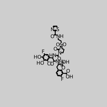 O=C(NCCS(=O)(=O)N1CCN(C(=O)NC(C(=O)N[C@H]2Cc3ccc(F)c(C(=O)O)c3OB2O)c2cc(F)c(O)c(O)c2Cl)C1=O)c1nccs1